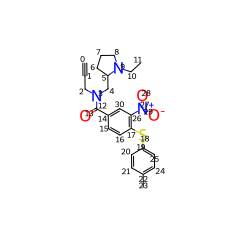 C#CCN(CC1CCCN1CC)C(=O)c1ccc(Sc2ccc(C)cc2)c([N+](=O)[O-])c1